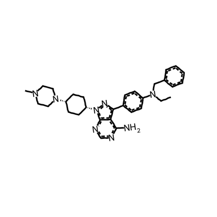 CCN(Cc1ccccc1)c1ccc(-c2nn([C@H]3CC[C@@H](N4CCN(C)CC4)CC3)c3ncnc(N)c23)cc1